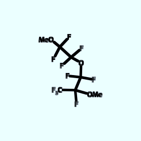 COC(F)(F)C(F)(F)OC(F)(F)C(F)(OC)C(F)(F)F